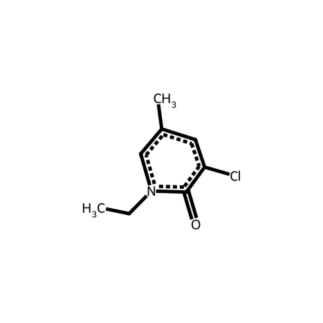 CCn1cc(C)cc(Cl)c1=O